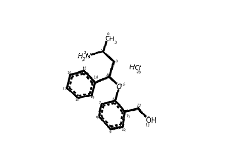 CC(N)CC(Oc1ccccc1CO)c1ccccc1.Cl